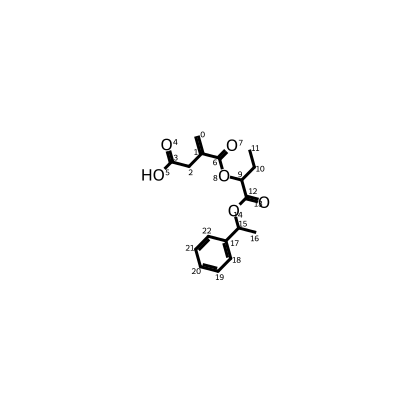 C=C(CC(=O)O)C(=O)OC(CC)C(=O)OC(C)c1ccccc1